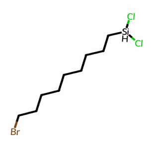 Cl[SiH](Cl)CCCCCCCCCBr